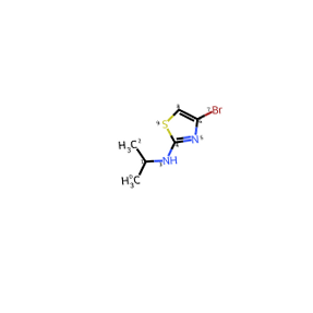 CC(C)Nc1nc(Br)cs1